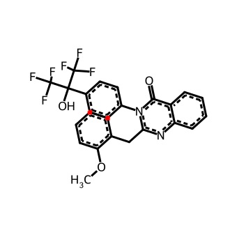 COc1ccccc1Cc1nc2ccccc2c(=O)n1-c1ccc(C(O)(C(F)(F)F)C(F)(F)F)cc1